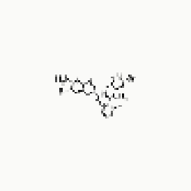 CC(c1ncccc1F)N(Cc1ccc(Br)nn1)C(=O)c1cnc2nc(N)c(Br)cc2c1